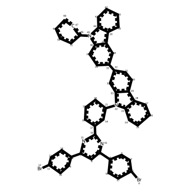 Brc1ccc(-c2cc(-c3ccc(Br)cc3)nc(-c3cccc(-n4c5ccccc5c5ccc(-c6ccc7c(c6)c6ccccc6n7-c6ccccc6)cc54)c3)n2)cc1